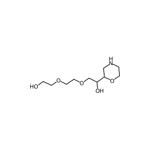 OCCOCCOCC(O)C1CNCCO1